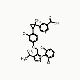 CC(C)c1cnn(-c2c(Cl)cccc2Cl)c1COc1ccc(C2CC2(C)c2cncc(C(=O)O)c2)c(Cl)c1